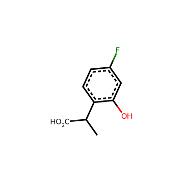 CC(C(=O)O)c1ccc(F)cc1O